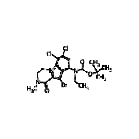 CCN(C(=O)OC(C)(C)C)c1cc(Cl)c(Cl)c2c1c(Br)c1n2CCN(C)C1=O